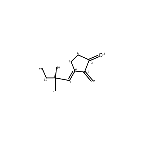 C=C1C(=O)CC/C1=C\C(C)(C)CC